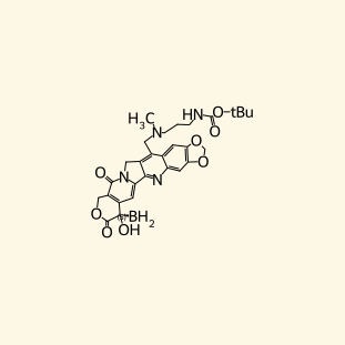 B[C@@]1(O)C(=O)OCc2c1cc1n(c2=O)Cc2c-1nc1cc3c(cc1c2CN(C)CCCNC(=O)OC(C)(C)C)OCO3